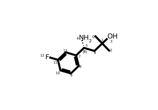 CC(C)(O)C[C@@H](N)c1cccc(F)c1